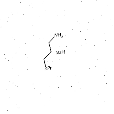 CCCCCCN.[NaH]